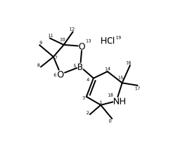 CC1(C)C=C(B2OC(C)(C)C(C)(C)O2)CC(C)(C)N1.Cl